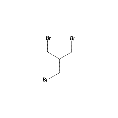 BrC[C](CBr)CBr